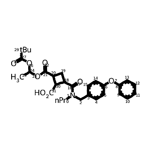 CCCN(Cc1ccc(Oc2ccccc2)cc1)C(=O)C1CC(C(=O)OC(C)OC(=O)C(C)(C)C)C1C(=O)O